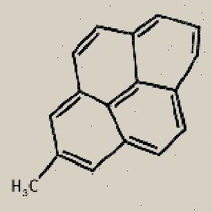 Cc1[c]c2ccc3cccc4ccc(c1)c2c34